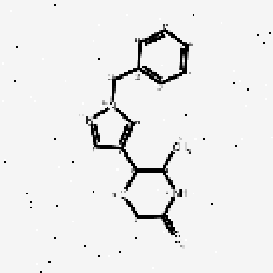 CC1NC(=O)COC1c1cnn(Cc2ccccc2)c1